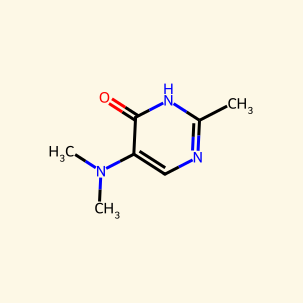 Cc1ncc(N(C)C)c(=O)[nH]1